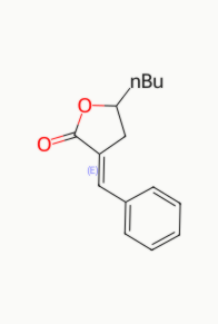 CCCCC1C/C(=C\c2ccccc2)C(=O)O1